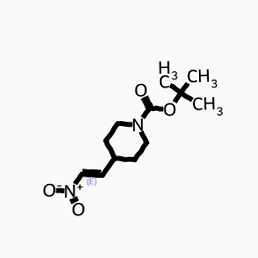 CC(C)(C)OC(=O)N1CCC(/C=C/[N+](=O)[O-])CC1